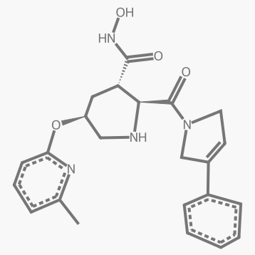 Cc1cccc(O[C@@H]2CN[C@H](C(=O)N3CC=C(c4ccccc4)C3)[C@@H](C(=O)NO)C2)n1